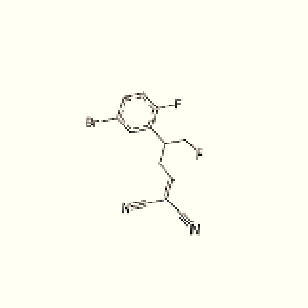 N#CC(C#N)=CCC(CF)c1cc(Br)ccc1F